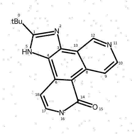 CC(C)(C)c1nc2c([nH]1)c1c(c3ccncc32)C(=O)[N]C=C1